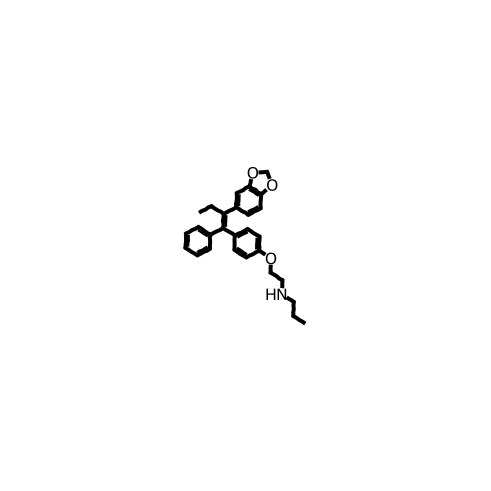 CCCNCCOc1ccc(C(=C(CC)c2ccc3c(c2)OCO3)c2ccccc2)cc1